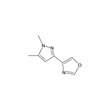 Cc1cc(-c2cocn2)nn1C